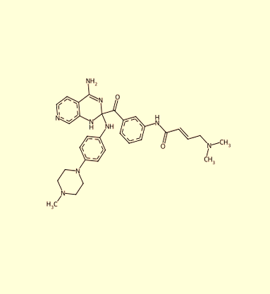 CN(C)CC=CC(=O)Nc1cccc(C(=O)C2(Nc3ccc(N4CCN(C)CC4)cc3)N=C(N)c3ccncc3N2)c1